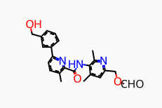 Cc1ccc(-c2cccc(CO)c2)nc1C(=O)Nc1c(C)cc(COC=O)nc1C